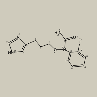 NC(=O)N(OCCCc1c[nH]cn1)c1ccccc1I